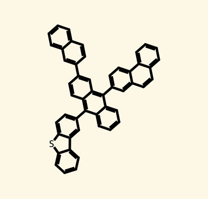 c1ccc2cc(-c3ccc4c(-c5ccc6sc7ccccc7c6c5)c5ccccc5c(-c5ccc6c(ccc7ccccc76)c5)c4c3)ccc2c1